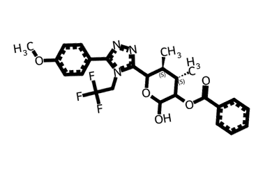 COc1ccc(-c2nnc(C3OC(O)C(OC(=O)c4ccccc4)[C@@H](C)[C@@H]3C)n2CC(F)(F)F)cc1